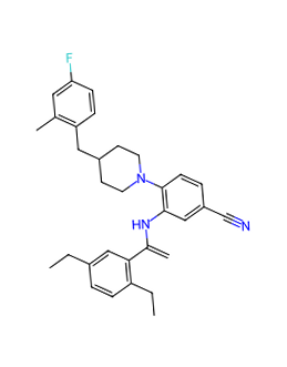 C=C(Nc1cc(C#N)ccc1N1CCC(Cc2ccc(F)cc2C)CC1)c1cc(CC)ccc1CC